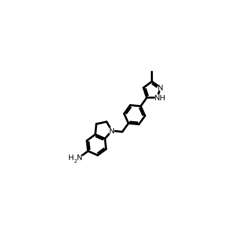 Cc1cc(-c2ccc(CN3CCc4cc(N)ccc43)cc2)[nH]n1